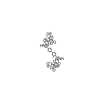 COC(=O)N[C@H](C(=O)N1C(c2nc(-c3ccc(-c4ccc(-c5c[nH]c([C@@H]6CC[C@H](C)N6C(=O)[C@@H](NC(=O)OC)[C@@H]6CCOC7(CC7)C6)n5)cc4)cc3C)c[nH]2)CC[C@@H]1C)[C@@H]1CCOC2(CC2)C1